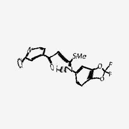 CS/C(=C/C(=O)c1ccnc(Cl)c1)Nc1ccc2c(c1)OC(F)(F)O2